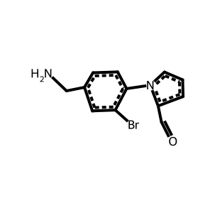 NCc1ccc(-n2cccc2C=O)c(Br)c1